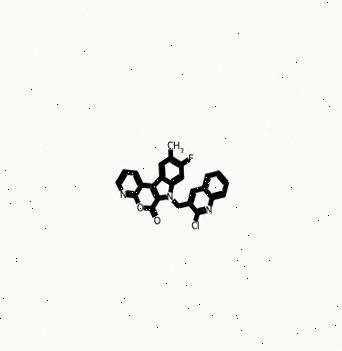 Cc1cc2c3c4cccnc4oc(=O)c3n(Cc3cc4ccccc4nc3Cl)c2cc1F